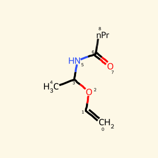 C=COC(C)NC(=O)CCC